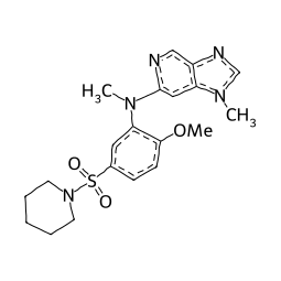 COc1ccc(S(=O)(=O)N2CCCCC2)cc1N(C)c1cc2c(cn1)ncn2C